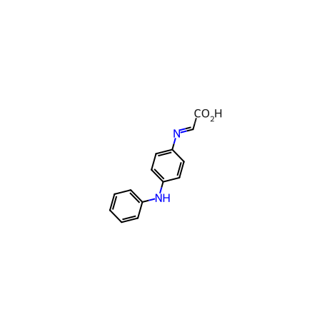 O=C(O)C=Nc1ccc(Nc2ccccc2)cc1